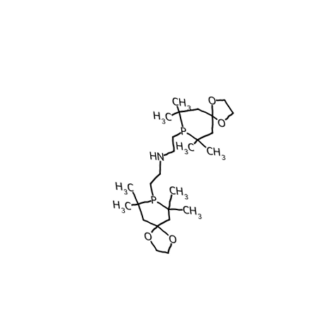 CC1(C)CC2(CC(C)(C)P1CCNCCP1C(C)(C)CC3(CC1(C)C)OCCO3)OCCO2